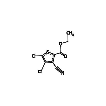 CCOC(=O)c1sc(Cl)c(Cl)c1C#N